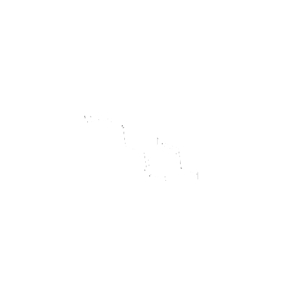 CCc1cnc(CC(=O)OC)nc1